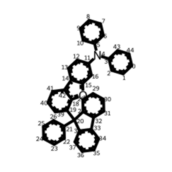 c1ccc(N(c2ccccc2)c2ccc3c(c2)oc2c(C4(c5ccccc5)c5ccccc5-c5ccccc54)cccc23)cc1